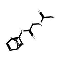 CC(C)(C)C(=O)OCC(=O)Oc1cc2ccc1o2